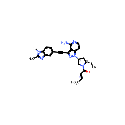 CCn1c(C)nc2cc(C#Cc3nn([C@H]4C[C@H](CC#N)N(C(=O)/C=C/C(=O)O)C4)c4ccnc(N)c34)ccc21